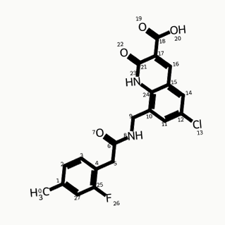 Cc1ccc(CC(=O)NCc2cc(Cl)cc3cc(C(=O)O)c(=O)[nH]c23)c(F)c1